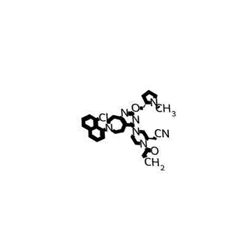 C=CC(=O)N1CCN(c2nc(OC[C@@H]3CCCN3C)nc3c2CCN(c2cccc4cccc(Cl)c24)CC3)C[C@H]1CC#N